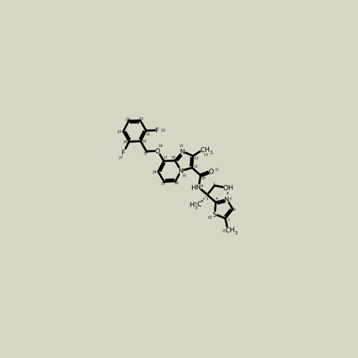 Cc1cnc([C@](C)(CO)NC(=O)c2c(C)nc3c(OCc4c(F)cccc4F)cccn23)s1